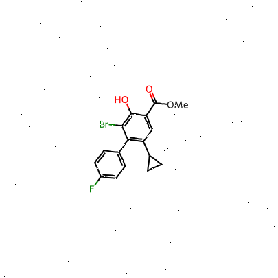 COC(=O)c1cc(C2CC2)c(-c2ccc(F)cc2)c(Br)c1O